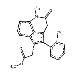 COC(=O)Cn1c(-c2ccccc2C)c2c3c(cccc31)N(C)C(=O)C2